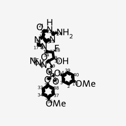 COc1ccc(OP(=O)(OC[C@@]2(N=[N+]=[N-])O[C@@H](n3cnc4c(=O)[nH]c(N)nc43)[C@H](F)[C@@H]2O)Oc2ccc(OC)cc2)cc1